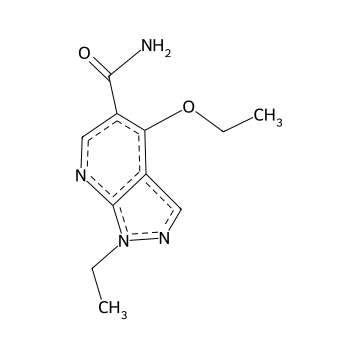 CCOc1c(C(N)=O)cnc2c1cnn2CC